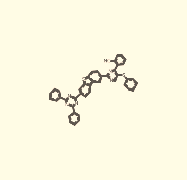 N#Cc1ccccc1-c1nc(-c2ccc3sc4cc(-c5nc(-c6ccccc6)nc(-c6ccccc6)n5)ccc4c3c2)ncc1Sc1ccccc1